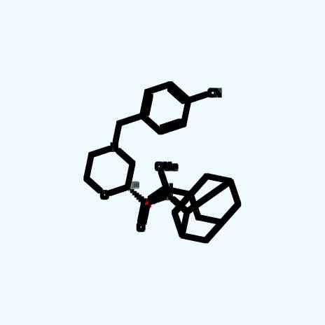 COC(=O)C12CC3CC(C1)C(NC(=O)[C@H]1CN(Cc4ccc(C#N)cc4)CCO1)C(C3)C2